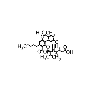 CCCCCc1cc2c(c(OCC(NC(=O)CCC(=O)O)C(C)C)c1C(=O)O)-c1cc(C)ccc1C(C)(C)O2